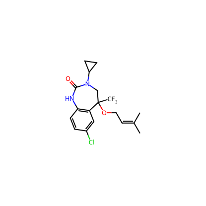 CC(C)=CCOC1(C(F)(F)F)CN(C2CC2)C(=O)Nc2ccc(Cl)cc21